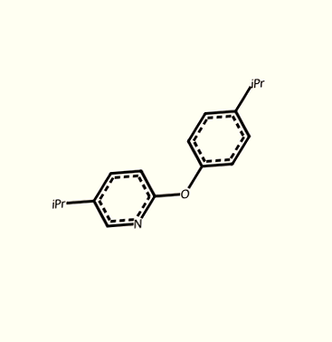 CC(C)c1ccc(Oc2ccc(C(C)C)cn2)cc1